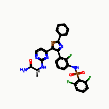 C[C@@H](Nc1nccc(-c2sc(-c3ccccc3)nc2-c2cccc(NS(=O)(=O)c3c(F)cccc3F)c2F)n1)C(N)=O